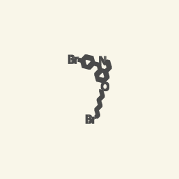 BrCCCCCCOc1ccc2c(-c3ccc(Br)cc3)nccc2c1